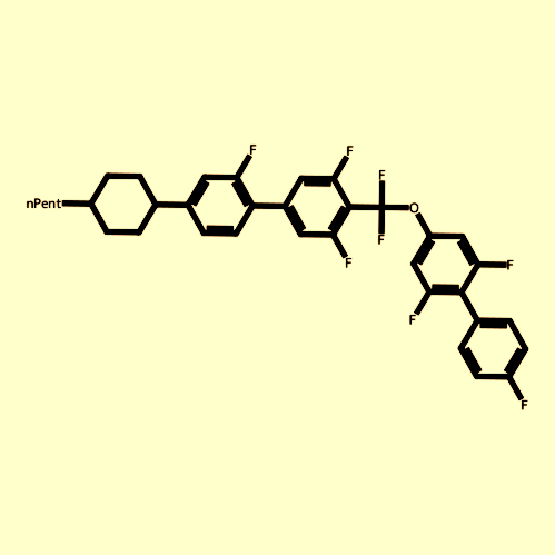 CCCCCC1CCC(c2ccc(-c3cc(F)c(C(F)(F)Oc4cc(F)c(-c5ccc(F)cc5)c(F)c4)c(F)c3)c(F)c2)CC1